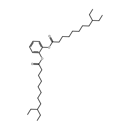 CCC(CC)CCCCCCCC(=O)Oc1ccccc1OC(=O)CCCCCCCC(CC)CC